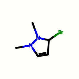 CN1C=CC(Br)N1C